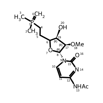 C=P(C)(C)CCC1O[C@@H](n2ccc(NC(C)=O)nc2=O)[C@H](OC)[C@@H]1O